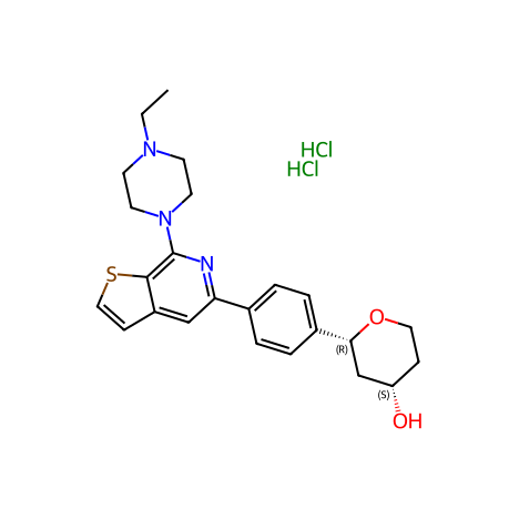 CCN1CCN(c2nc(-c3ccc([C@H]4C[C@@H](O)CCO4)cc3)cc3ccsc23)CC1.Cl.Cl